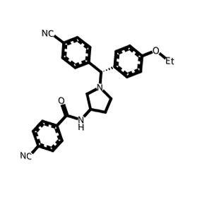 CCOc1ccc([C@@H](c2ccc(C#N)cc2)N2CCC(NC(=O)c3ccc(C#N)cc3)C2)cc1